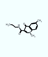 CCCNC(=O)c1cn(C)c2ccc(C)cc2c1=O